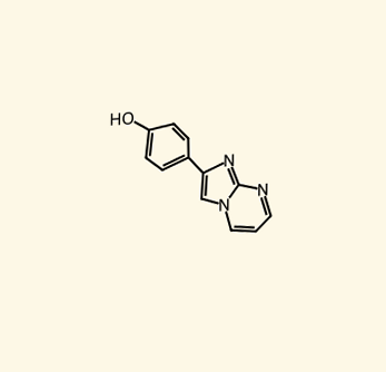 Oc1ccc(-c2cn3cccnc3n2)cc1